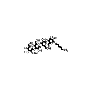 CC(=O)N[C@H]1C(O)[C@@H](O)C(CO)O[C@H]1O[C@@H]1C(O)[C@@H](O[C@H]2C(CO)O[C@@H](O[C@@H]3C(CF)O[C@@H](OCCCCCN)[C@@H](O)C3O)[C@@H](O)C2O)OC(CO)[C@@H]1O